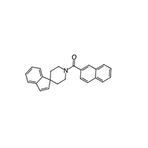 O=C(c1ccc2ccccc2c1)N1CCC2(C=Cc3ccccc32)CC1